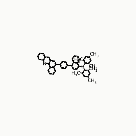 Cc1cc(C)c(B(c2c(C)cc(C)cc2C)c2ccc(-c3ccc(-c4cc5cc6ccccc6nc5c5ccccc45)cc3)c3ccccc23)c(C)c1